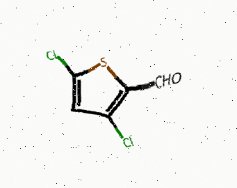 O=Cc1sc(Cl)cc1Cl